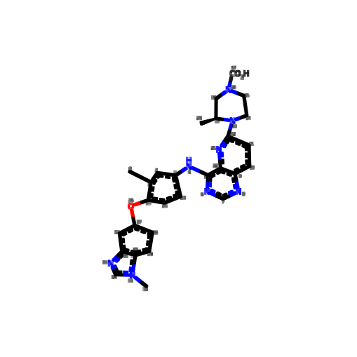 Cc1cc(Nc2ncnc3ccc(N4CCN(C(=O)O)C[C@@H]4C)nc23)ccc1Oc1ccc2c(c1)ncn2C